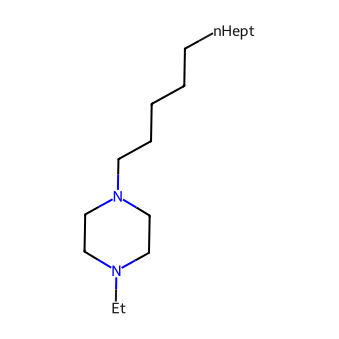 CCCCCCCCCCCCN1CCN(CC)CC1